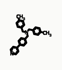 Cc1ccc(CN(Cc2ccc(C)cc2)Cc2ccc(-c3ccncc3)cc2)cc1